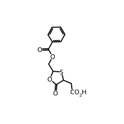 O=C(O)CC1SC(COC(=O)c2ccccc2)OC1=O